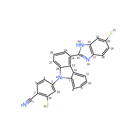 N#Cc1ccc(-n2c3ccccc3c3c(-c4nc5ccc(F)cc5[nH]4)cccc32)cc1F